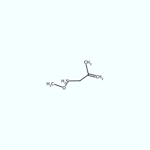 C=C(C)C[SiH2]OC